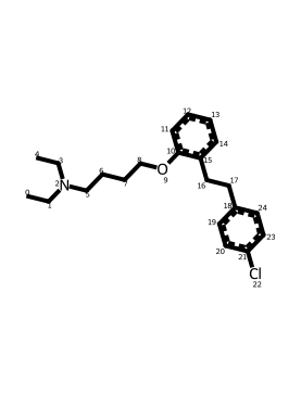 CCN(CC)CCCCOc1ccccc1CCc1ccc(Cl)cc1